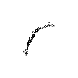 CCC(C)C(=O)OCCOCCOCCOc1ccc(C(=O)Oc2ccc(C(=O)Oc3ccc(C(=O)OCCCCOCC4(CC)COC4)cc3)cc2)cc1